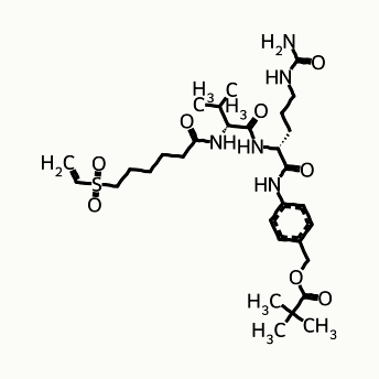 C=CS(=O)(=O)CCCCCC(=O)N[C@@H](C(=O)N[C@H](CCCNC(N)=O)C(=O)Nc1ccc(COC(=O)C(C)(C)C)cc1)C(C)C